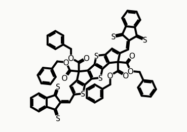 O=C(OCc1ccccc1)C1(C(=O)OCc2ccccc2)C(C=C2C(=S)c3ccccc3C2=S)=Cc2sc3c4c(sc3c21)-c1sc(C=C2C(=S)c3ccccc3C2=S)cc1C4(C(=O)OCc1ccccc1)C(=O)OCc1ccccc1